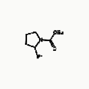 CC(C)COC(=O)N1CCCC1C(C)C